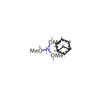 CON(OC)OC.c1cc2cc(c1)C2